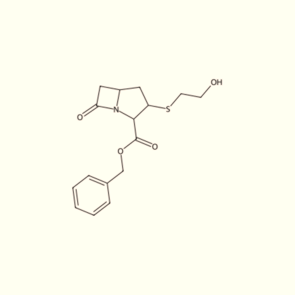 O=C(OCc1ccccc1)C1C(SCCO)CC2CC(=O)N21